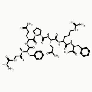 C[C@@H](N)C(=O)NCC(=O)N(C)[C@@H](Cc1ccccc1)C(=O)N[C@@H](CCC(N)=O)C(=O)N1CCC[C@H]1C(=O)N[C@@H](CCC(N)=O)C(=O)N[C@@H](CCCNC(=N)N)C(=O)N[C@@H](Cc1ccccc1)C(N)=O